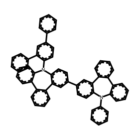 c1ccc(-c2ccc(N3c4ccccc4-c4ccccc4-c4cc(-c5ccc6c(c5)-c5ccccc5-c5ccccc5N6c5ccccc5)ccc43)c(-c3ccccc3)c2)cc1